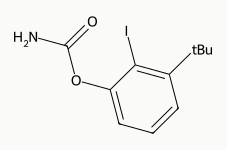 CC(C)(C)c1cccc(OC(N)=O)c1I